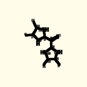 CC1NC(C(=S)C2NC(C)C(C)N2)NC1C